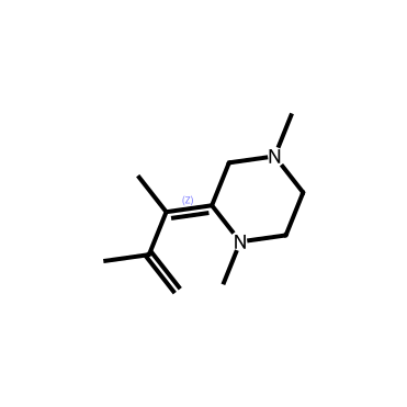 C=C(C)/C(C)=C1/CN(C)CCN1C